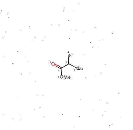 COC(=O)C(C(C)C)C(C)(C)C